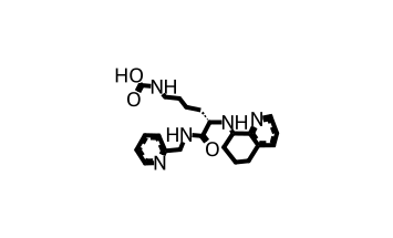 O=C(O)NCCCC[C@H](NC1CCCc2cccnc21)C(=O)NCc1ccccn1